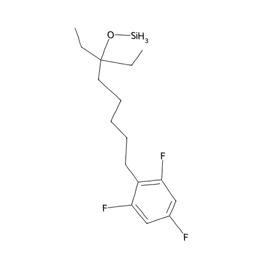 CCC(CC)(CCCCCc1c(F)cc(F)cc1F)O[SiH3]